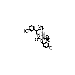 O=C(NCC(c1cccc(O)c1)c1ncco1)C1=Nc2ccc(Cl)cc2S(=O)(=O)N1